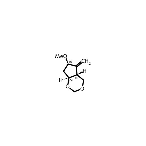 C=C1[C@H](OC)C[C@@H]2OCOC[C@@H]12